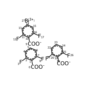 O=C([O-])c1c(F)cccc1F.O=C([O-])c1c(F)cccc1F.O=C([O-])c1c(F)cccc1F.[Bi+3]